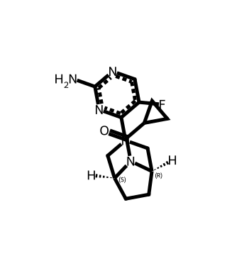 Nc1ncc(F)c(N2C[C@H]3CC[C@@H](C2)N3C(=O)C2CC2)n1